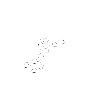 CC(C)(C)C1=CC2C3=C(N(c4ccccc4)c4ccc5c(c4)OC4C=CC=CC54)C=CC4C5=CC6C(C=C5N(C2C=C1)C34)c1ccc(N(c2ccccc2)c2ccccc2)c2c1N6C1C=C(C(C)(C)C)C=CC21